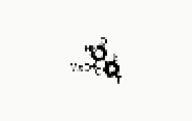 COC(=O)[C@H]1CNC(=O)C[C@H]1c1ccc(F)cc1F